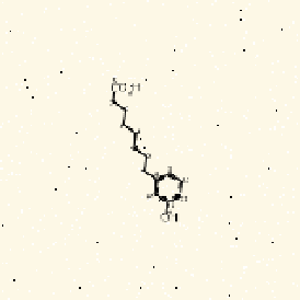 O=C(O)CCCCCCCc1cccc(O)c1